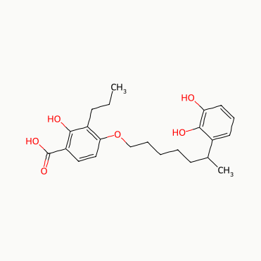 CCCc1c(OCCCCCC(C)c2cccc(O)c2O)ccc(C(=O)O)c1O